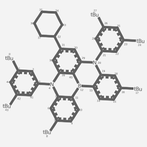 CC(C)(C)c1cc(N2c3cc(C(C)(C)C)ccc3B3c4ccc(C(C)(C)C)cc4N(c4cc(C(C)(C)C)cc(C(C)(C)C)c4)c4cc(C5CCCCC5)cc2c43)cc(C(C)(C)C)c1